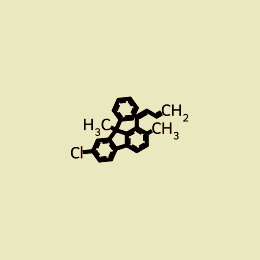 C=C/C=C\c1c(C)ccc2c1C(C)(c1ccccc1)c1cc(Cl)ccc1-2